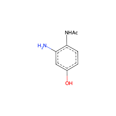 CC(=O)Nc1ccc(O)cc1N